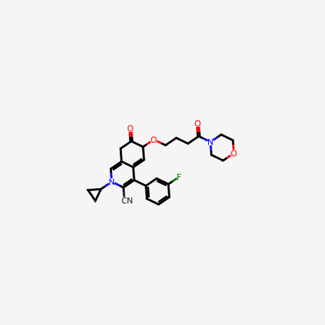 N#CC1=C(c2cccc(F)c2)C2=CC(OCCCC(=O)N3CCOCC3)C(=O)CC2=CN1C1CC1